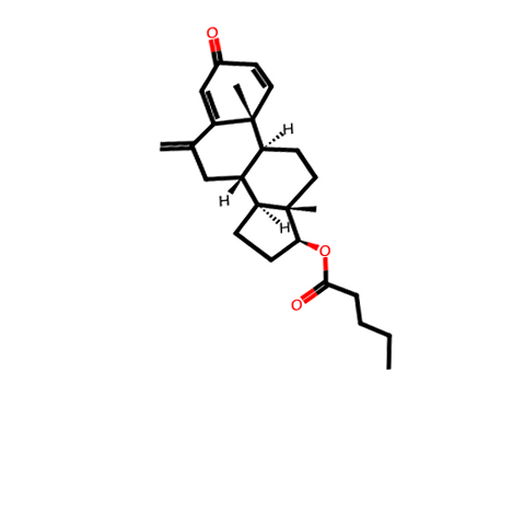 C=C1C[C@H]2[C@@H]3CC[C@H](OC(=O)CCCC)[C@@]3(C)CC[C@@H]2[C@@]2(C)C=CC(=O)C=C12